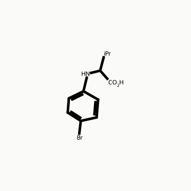 CC(C)C(Nc1ccc(Br)cc1)C(=O)O